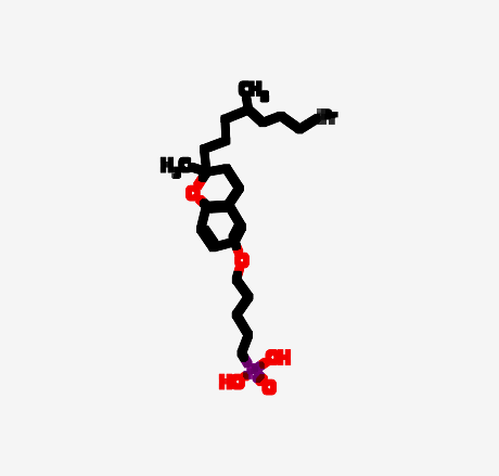 CC(C)CCCC(C)CCCC1(C)CCc2cc(OCCCCCP(=O)(O)O)ccc2O1